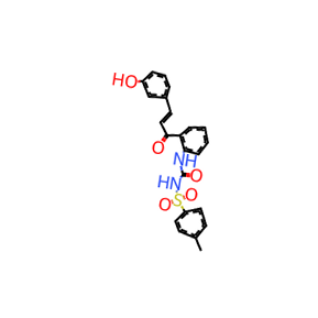 Cc1ccc(S(=O)(=O)NC(=O)Nc2ccccc2C(=O)/C=C/c2cccc(O)c2)cc1